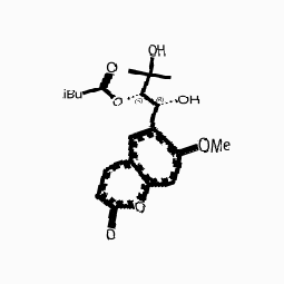 CCC(C)C(=O)O[C@@H]([C@H](O)c1cc2ccc(=O)oc2cc1OC)C(C)(C)O